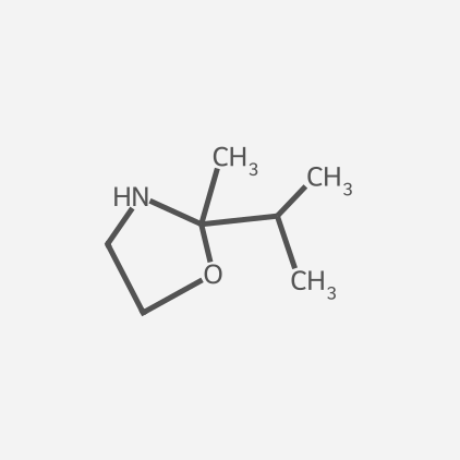 CC(C)C1(C)NCCO1